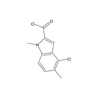 Cc1ccc2c(cc(C(=O)Cl)n2C)c1Cl